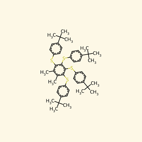 Cc1c(C)c(Sc2ccc(C(C)(C)C)cc2)c(Sc2ccc(C(C)(C)C)cc2)c(Sc2ccc(C(C)(C)C)cc2)c1Sc1ccc(C(C)(C)C)cc1